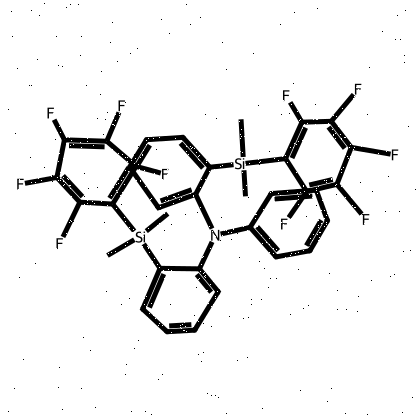 C[Si](C)(c1ccccc1N(c1ccccc1)c1ccccc1[Si](C)(C)c1c(F)c(F)c(F)c(F)c1F)c1c(F)c(F)c(F)c(F)c1F